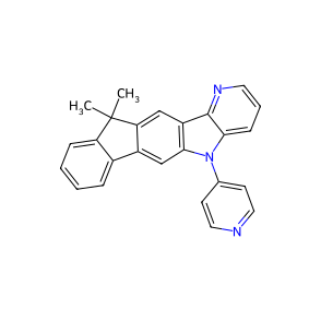 CC1(C)c2ccccc2-c2cc3c(cc21)c1ncccc1n3-c1ccncc1